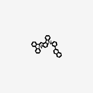 c1cc(-c2ccc3ccccc3c2)cc(-n2c3ccccc3c3c4cc5c6ccccc6c6ccccc6n5c4ccc32)c1